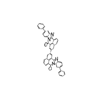 O=c1c2cc(-c3cc4cccc5c(=O)n6c7cc(-c8ccccc8)ccc7nc6c(c3)c45)cc3cccc(c32)c2nc3cc(-c4ccccc4)ccc3n12